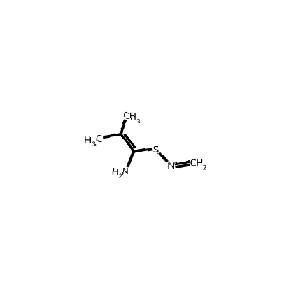 C=NSC(N)=C(C)C